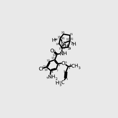 CC#CC(C)Oc1cc(N)c(Cl)cc1C(=O)N[C@H]1C[C@H]2CC[C@@H](C1)N2C